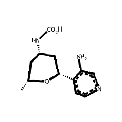 C[C@@H]1C[C@H](NC(=O)O)C[C@H](c2ccncc2N)O1